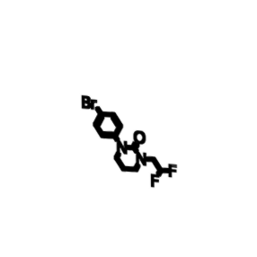 O=C1N(CC(F)F)CCCN1c1ccc(Br)cc1